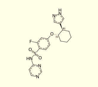 O=S(=O)(Nc1ccncn1)c1ccc(O[C@H]2CCCC[C@@H]2c2cn[nH]c2)cc1F